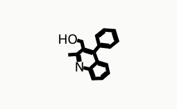 Cc1nc2ccccc2c(-c2ccccc2)c1CO